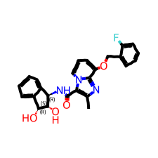 Cc1nc2c(OCc3ccccc3F)cccn2c1C(=O)N[C@@H]1c2ccccc2[C@@H](O)[C@H]1O